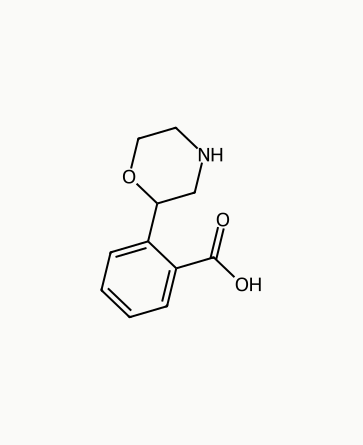 O=C(O)c1ccccc1C1CNCCO1